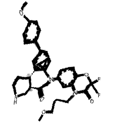 COCCCN1C(=O)C(F)(F)Oc2ccc(N(C(=O)[C@H]3CNCC[C@@H]3c3cccc(-c4ccc(OC)cc4)c3)C3CC3)cc21